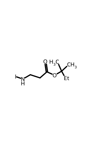 CCC(C)(C)OC(=O)CCNI